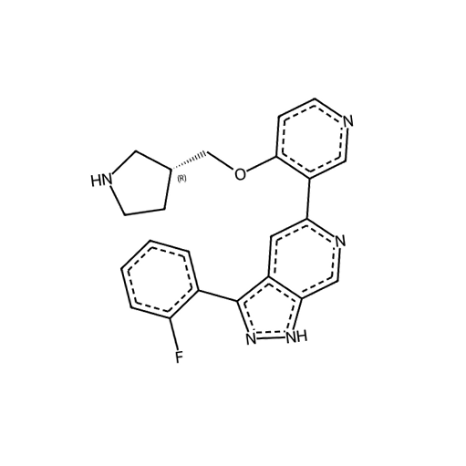 Fc1ccccc1-c1n[nH]c2cnc(-c3cnccc3OC[C@@H]3CCNC3)cc12